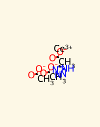 CC(=O)[O-].CC(=O)[O-].CC(=O)[O-].[Ce+3].c1nnn[nH]1